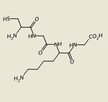 NCCCCC(NC(=O)CNC(=O)C(N)CS)C(=O)NCC(=O)O